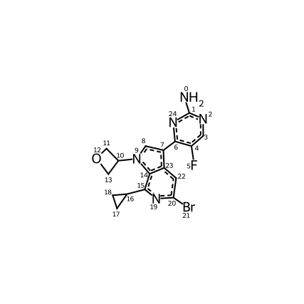 Nc1ncc(F)c(-c2cn(C3COC3)c3c(C4CC4)nc(Br)cc23)n1